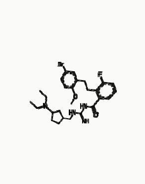 CCN(CC)C1CCC(CNC(=N)NC(=O)c2cccc(F)c2CCc2cc(Br)ccc2OC)C1